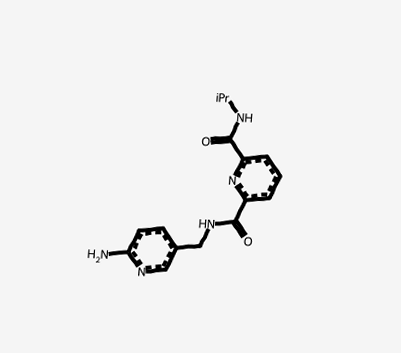 CC(C)NC(=O)c1cccc(C(=O)NCc2ccc(N)nc2)n1